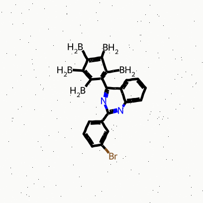 Bc1c(B)c(B)c(-c2nc(-c3cccc(Br)c3)nc3ccccc23)c(B)c1B